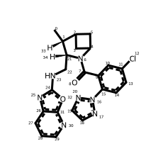 C[C@@H]1C2CC(C2)N(C(=O)c2cc(Cl)ccc2-n2nccn2)[C@@H]1CNc1nc2cccnc2o1